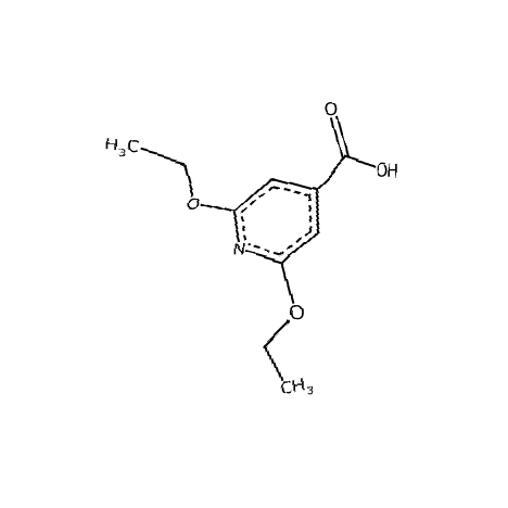 CCOc1cc(C(=O)O)cc(OCC)n1